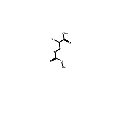 COC(=O)C(Br)CNC(=O)OC(C)(C)C